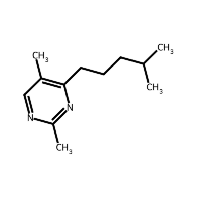 Cc1ncc(C)c(CCCC(C)C)n1